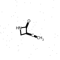 C=C=C1CNC1=O